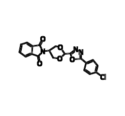 O=C1c2ccccc2C(=O)N1C1COC(c2nnc(-c3ccc(Cl)cc3)o2)OC1